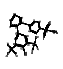 NS(=O)(=O)c1ccc(-c2ccccc2-c2cc(C(F)(F)F)c(Cl)c(C(F)(F)F)c2)cc1